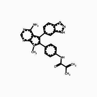 C=C(C)C(=O)Nc1ccc(-c2c(-c3ccc4nn[nH]c4c3)c3c(N)ncnc3n2C)cc1